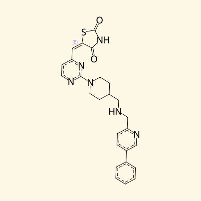 O=C1NC(=O)/C(=C\c2ccnc(N3CCC(CNCc4ccc(-c5ccccc5)cn4)CC3)n2)S1